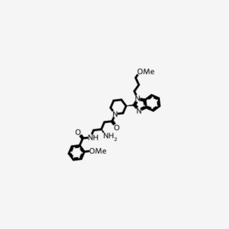 COCCCn1c([C@@H]2CCCN(C(=O)C[C@@H](N)CNC(=O)c3ccccc3OC)C2)nc2ccccc21